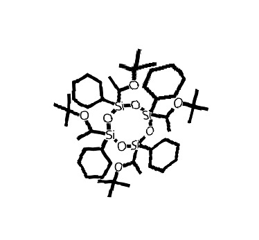 CC(OC(C)(C)C)[Si]1(C2CCCCC2)O[Si](C2CCCCC2)(C(C)OC(C)(C)C)O[Si](C2CCCCC2)(C(C)OC(C)(C)C)O[Si](C2CCCCC2)(C(C)OC(C)(C)C)O1